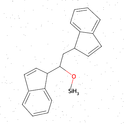 [SiH3]OC(CC1C=Cc2ccccc21)C1C=Cc2ccccc21